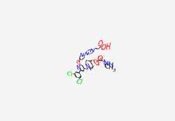 CNC1OC1OCC1CCN(Cc2cc(Oc3ccc(N4CCN(CCC(=O)O)CC4)nc3)nc(-c3cc(Cl)cc(Cl)c3)c2)CC1